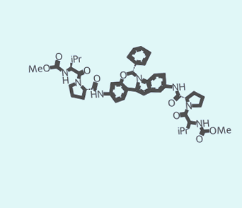 COC(=O)NC(C(=O)N1CCC[C@H]1C(=O)Nc1ccc2c(c1)cc1n2[C@@H](c2ccccc2)Oc2cc(NC(=O)[C@@H]3CCCN3C(=O)[C@@H](NC(=O)OC)C(C)C)ccc2-1)C(C)C